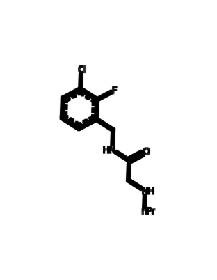 CCCNCC(=O)NCc1cccc(Cl)c1F